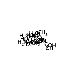 CN(C)c1cc(CNCc2ccc(O)c(O)c2)c(O)c2c1C[C@H]1C[C@H]3[C@H](N(C)C)C(O)=C(C(N)=O)C(=O)[C@@]3(P)C(O)=C1C2=O